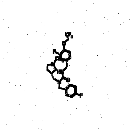 CN1CC[C@@H](CN(Cc2ccc(F)cc2)C(=O)NCc2ccc(OCC(F)(F)F)c(F)c2)C1